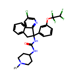 CC(C)N1CCC(NC(=O)NC(Cc2ccccc2)(c2cccc(OC(F)(F)C(F)F)c2)c2ccc(Cl)cn2)CC1